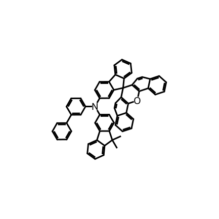 CC1(C)c2ccccc2-c2cc(N(c3cccc(-c4ccccc4)c3)c3ccc4c(c3)C3(c5ccccc5-4)c4ccc5ccccc5c4Oc4c3ccc3ccccc43)ccc21